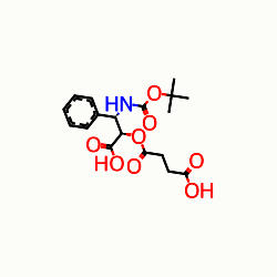 CC(C)(C)OC(=O)N[C@@H](c1ccccc1)[C@@H](OC(=O)CCC(=O)O)C(=O)O